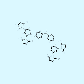 CCC(c1ccc(Oc2ccc(N3C(=O)C=CC3=O)cc2N2C(=O)C=CC2=O)cc1)c1ccc(Oc2ccc(N3C(=O)C=CC3=O)cc2N2C(=O)C=CC2=O)cc1